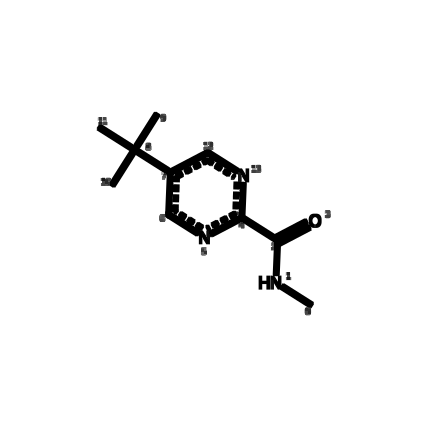 CNC(=O)c1ncc(C(C)(C)C)cn1